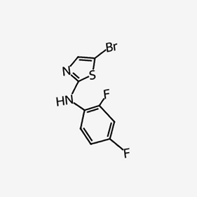 Fc1ccc(Nc2ncc(Br)s2)c(F)c1